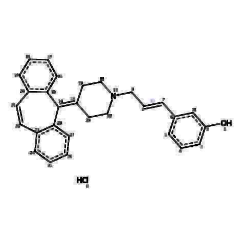 Cl.Oc1cccc(/C=C/CN2CCC(=C3c4ccccc4C=Cc4ccccc43)CC2)c1